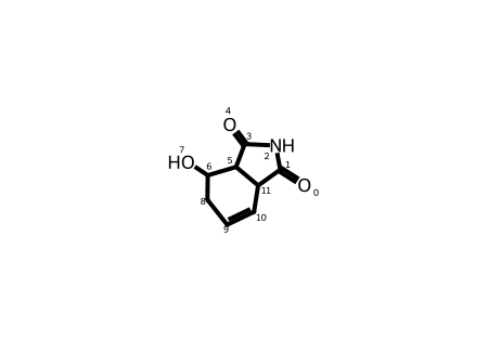 O=C1NC(=O)C2C(O)CC=CC12